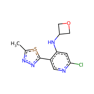 Cc1nnc(-c2cnc(Cl)cc2NC2COC2)s1